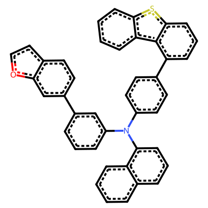 c1cc(-c2ccc3ccoc3c2)cc(N(c2ccc(-c3cccc4sc5ccccc5c34)cc2)c2cccc3ccccc23)c1